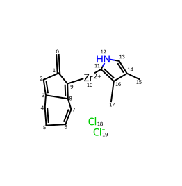 C=C1C=c2ccccc2=[C]1[Zr+2][c]1[nH]cc(C)c1C.[Cl-].[Cl-]